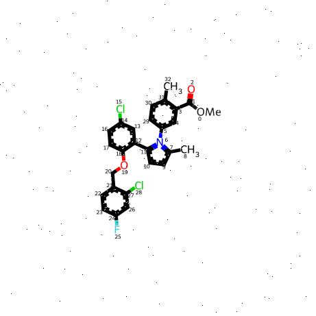 COC(=O)c1cc(-n2c(C)ccc2-c2cc(Cl)ccc2OCc2ccc(F)cc2Cl)ccc1C